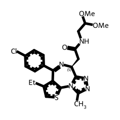 CCc1csc2c1C(c1ccc(Cl)cc1)=N[C@@H](CC(=O)NCC(OC)OC)c1nnc(C)n1-2